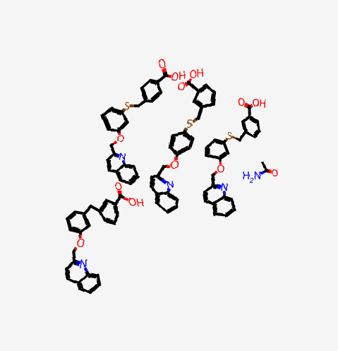 CC(N)=O.O=C(O)c1ccc(CSc2cccc(OCc3ccc4ccccc4n3)c2)cc1.O=C(O)c1cccc(CSc2ccc(OCc3ccc4ccccc4n3)cc2)c1.O=C(O)c1cccc(CSc2cccc(OCc3ccc4ccccc4n3)c2)c1.O=C(O)c1cccc(Cc2cccc(OCc3ccc4ccccc4n3)c2)c1